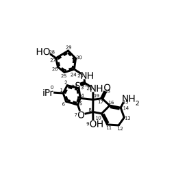 CC(C)c1ccc2c(c1)OC1(O)C3=CCCC(N)=C3C(=O)C21NC(=S)Nc1ccc(O)cc1